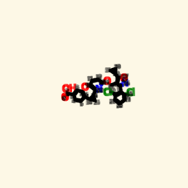 O=C(O)c1ccc2c(c1)Oc1ccc(OCc3c(-c4c(Cl)cccc4Cl)noc3C3CC3)nc1C1CC21